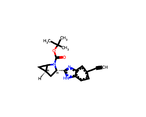 C#Cc1ccc2[nH]c([C@@H]3C[C@H]4CC4N3C(=O)OC(C)(C)C)nc2c1